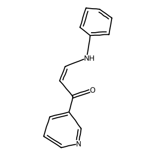 O=C(/C=C\Nc1ccccc1)c1cccnc1